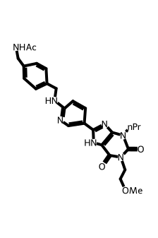 CCCn1c(=O)n(CCOC)c(=O)c2[nH]c(-c3ccc(NCc4ccc(CNC(C)=O)cc4)nc3)nc21